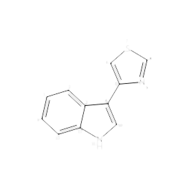 c1ccc2c(-c3cscn3)c[nH]c2c1